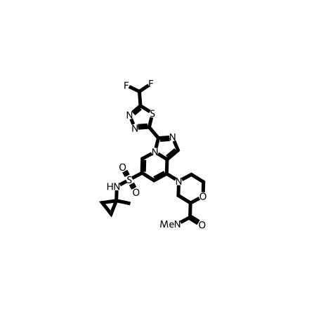 CNC(=O)C1CN(c2cc(S(=O)(=O)NC3(C)CC3)cn3c(-c4nnc(C(F)F)s4)ncc23)CCO1